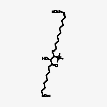 CCCCCCCC/C=C\CCCCCCCC[P-]C(C(O)C(=O)CCCCCCCCCCCCCCCCC)[N+](C)(C)C